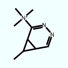 CC1C2C=NN=C([N+](C)(C)C)C12